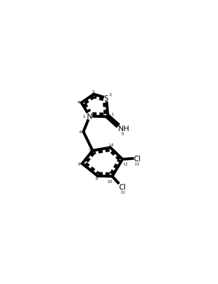 N=c1sccn1Cc1ccc(Cl)c(Cl)c1